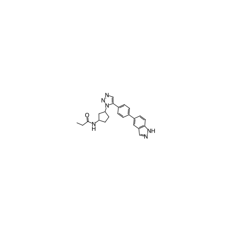 CCC(=O)NC1CCC(n2nncc2-c2ccc(-c3ccc4[nH]ncc4c3)cc2)C1